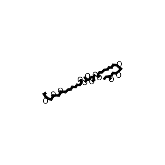 CCC1OC1CC1OC1CC1OC1CCCCCCCC(=O)OC1COC2C(OC(=O)CCCCCCCC3OC3CC3OC3CC3OC3CC)COC12